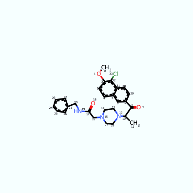 COc1ccc2cc(C(=O)C(C)N3CCN(CC(=O)NCc4ccccc4)CC3)ccc2c1Cl